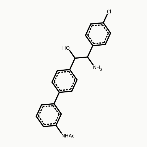 CC(=O)Nc1cccc(-c2ccc(C(O)C(N)c3ccc(Cl)cc3)cc2)c1